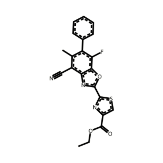 CCOC(=O)c1csc(-c2nc3c(C#N)c(C)c(-c4ccccc4)c(F)c3o2)n1